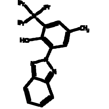 Cc1cc(-n2nc3ccccc3n2)c(O)c([Si](C(C)C)(C(C)C)C(C)C)c1